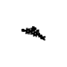 CN(C)OOSOc1ccc(CN(c2ccc(C#N)cc2)n2cnnc2)cc1Cl